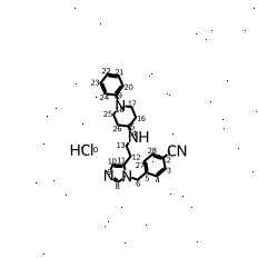 Cl.N#Cc1ccc(Cn2cncc2CCNC2CCN(c3ccccc3)CC2)cc1